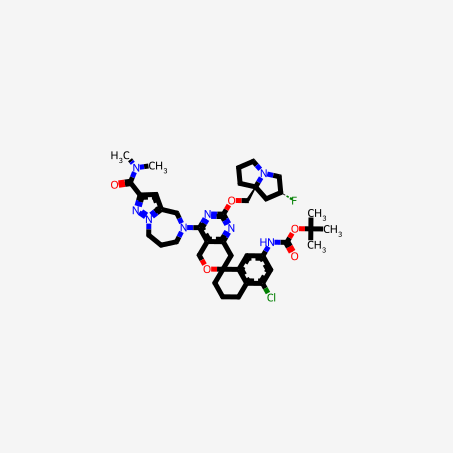 CN(C)C(=O)c1cc2n(n1)CCCN(c1nc(OC[C@@]34CCCN3C[C@H](F)C4)nc3c1COC1(CCCc4c(Cl)cc(NC(=O)OC(C)(C)C)cc41)C3)C2